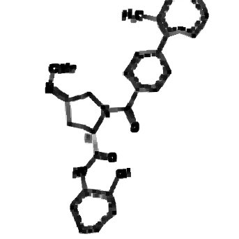 CON=C1C[C@@H](C(=O)Nc2ccccc2O)N(C(=O)c2ccc(-c3ccccc3C)cc2)C1